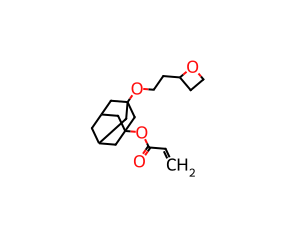 C=CC(=O)OC12CC3CC(CC(OCCC4CCO4)(C3)C1)C2